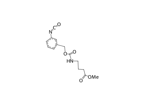 COC(=O)CCCNC(=O)OCc1cccc(N=C=O)c1